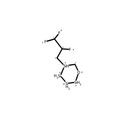 FC(F)C(F)C[SiH]1CO[SiH2][SiH2][SiH2]1